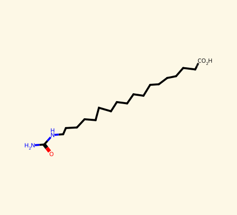 NC(=O)NCCCCCCCCCCCCCCCCCC(=O)O